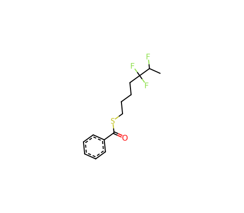 CC(F)C(F)(F)CCCCSC(=O)c1ccccc1